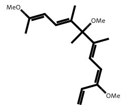 C=C/C(=C\C=C(/C)C(C)(OC)/C(C)=C/C=C(\C)OC)OC